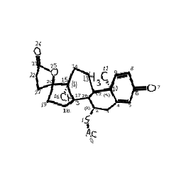 CC(=O)S[C@@H]1CC2=CC(=O)C=C[C@]2(C)C2CC[C@@]3(C)C(CCC34CCC(=O)O4)C21